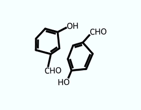 O=Cc1ccc(O)cc1.O=Cc1cccc(O)c1